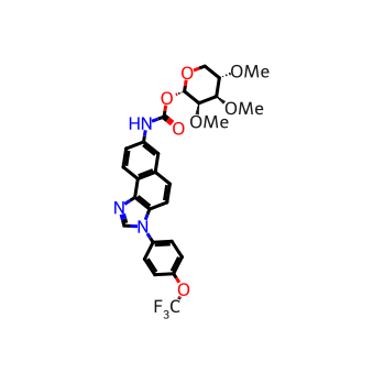 CO[C@H]1[C@H](OC(=O)Nc2ccc3c(ccc4c3ncn4-c3ccc(OC(F)(F)F)cc3)c2)OC[C@H](OC)[C@H]1OC